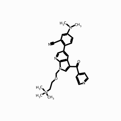 CN(C)c1ccc(-c2cnc3c(c2)c(C(=O)c2ccncc2)cn3COCC[Si](C)(C)C)c(C#N)c1